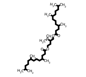 CC(C)CCCC(C)CCCC(C)CCC(=O)OCCC(COC(=O)CCC(C)CCCC(C)CCCC(C)C)N(C)C